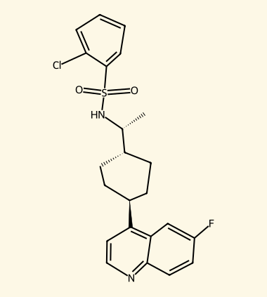 C[C@@H](NS(=O)(=O)c1ccccc1Cl)[C@H]1CC[C@H](c2ccnc3ccc(F)cc32)CC1